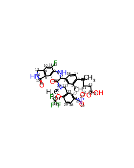 Cc1cc(C(Nc2cc3c(cc2F)CNC3=O)C(=O)N(C)Cc2cc([N+](=O)[O-])ccc2OC(F)(F)F)ccc1[C@@H](C)CCC(=O)O